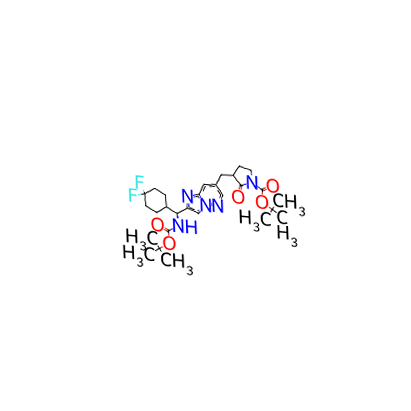 CC(C)(C)OC(=O)N[C@H](c1cn2ncc(CC3CCN(C(=O)OC(C)(C)C)C3=O)cc2n1)C1CCC(F)(F)CC1